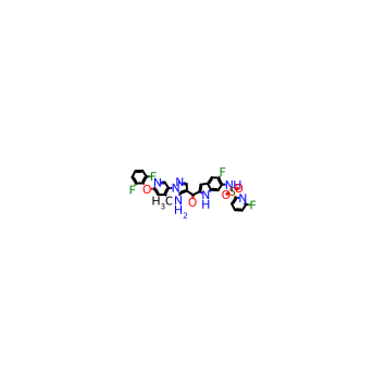 Cc1cc(Oc2c(F)cccc2F)ncc1-n1ncc(C(=O)c2cc3cc(F)c(NS(=O)(=O)c4cccc(F)n4)cc3[nH]2)c1N